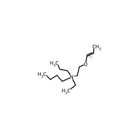 C/C=C/OCC[N+](CC)(CCC)CCCC